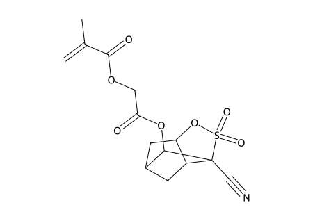 C=C(C)C(=O)OCC(=O)OC1C2CC3OS(=O)(=O)C1(C#N)C3C2